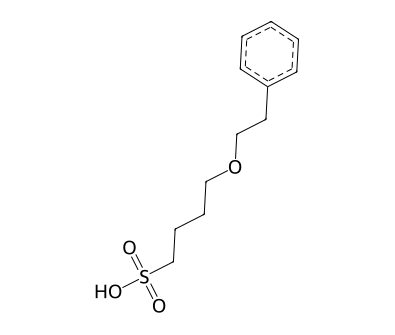 O=S(=O)(O)CCCCOCCc1ccccc1